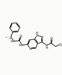 COCC(=O)Nc1n[nH]c2cc(NC(=O)N[C@H](C)c3ccccc3)ncc12